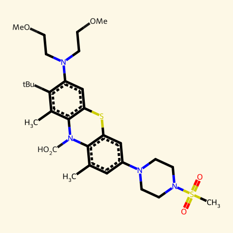 COCCN(CCOC)c1cc2c(c(C)c1C(C)(C)C)N(C(=O)O)c1c(C)cc(N3CCN(S(C)(=O)=O)CC3)cc1S2